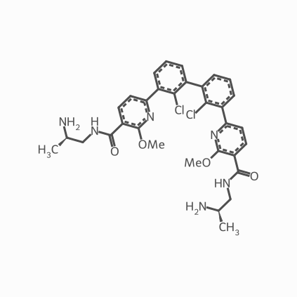 COc1nc(-c2cccc(-c3cccc(-c4ccc(C(=O)NC[C@@H](C)N)c(OC)n4)c3Cl)c2Cl)ccc1C(=O)NC[C@@H](C)N